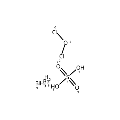 ClOCl.O=S(=O)(O)O.[BaH2].[BiH3]